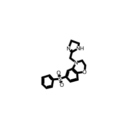 O=S(=O)(c1ccccc1)c1ccc2c(c1)N(CC1=NCCN1)CCO2